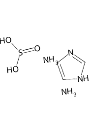 N.N.O=S(O)O.c1c[nH]cn1